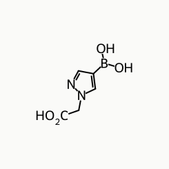 O=C(O)Cn1cc(B(O)O)cn1